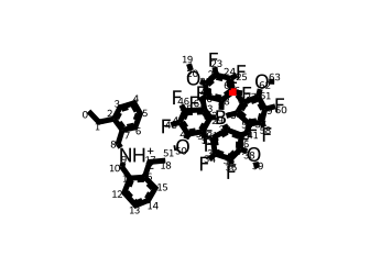 CCc1ccccc1C[NH2+]Cc1ccccc1CC.COc1c(F)c(F)c(F)c([B-](c2c(F)c(F)c(F)c(OC)c2F)(c2c(F)c(F)c(F)c(OC)c2F)c2c(F)c(F)c(F)c(OC)c2F)c1F